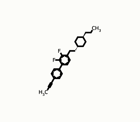 CC#Cc1ccc(-c2ccc(CC[C@H]3CC[C@H](CCC)CC3)c(F)c2F)cc1